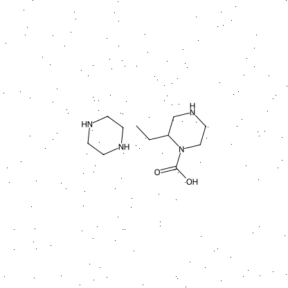 C1CNCCN1.CCC1CNCCN1C(=O)O